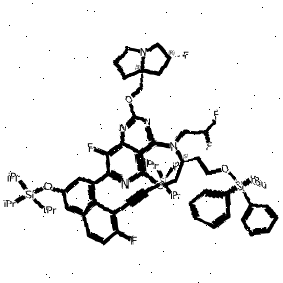 CC(C)[Si](C#Cc1c(F)ccc2cc(O[Si](C(C)C)(C(C)C)C(C)C)cc(-c3nc4c5c(nc(OC[C@@]67CCCN6C[C@H](F)C7)nc5c3F)N(CC(F)F)[C@@H](CCO[Si](c3ccccc3)(c3ccccc3)C(C)(C)C)CO4)c12)(C(C)C)C(C)C